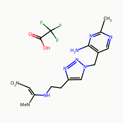 CNC(=C[N+](=O)[O-])NCCc1cn(Cc2cnc(C)nc2N)nn1.O=C(O)C(F)(F)F